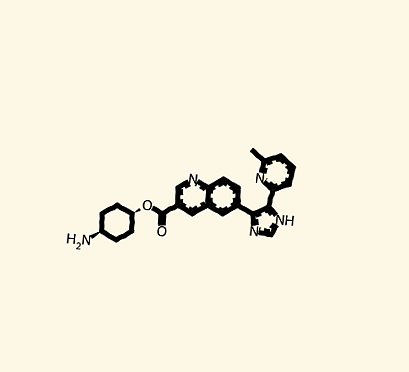 Cc1cccc(-c2[nH]cnc2-c2ccc3ncc(C(=O)O[C@H]4CC[C@H](N)CC4)cc3c2)n1